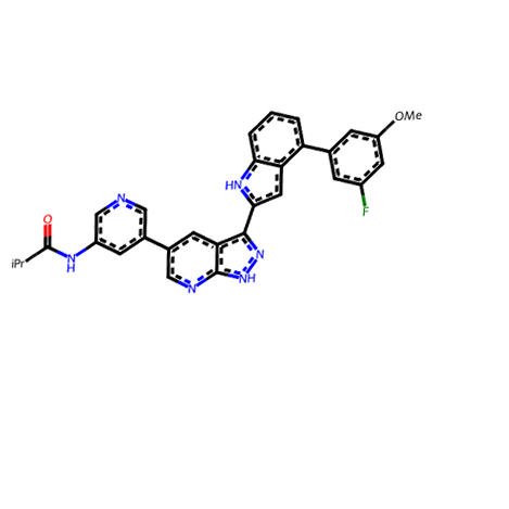 COc1cc(F)cc(-c2cccc3[nH]c(-c4n[nH]c5ncc(-c6cncc(NC(=O)C(C)C)c6)cc45)cc23)c1